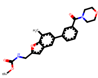 Cc1cc(-c2cccc(C(=O)N3CCOCC3)c2)cc2cc(CNC(=O)OC(C)(C)C)oc12